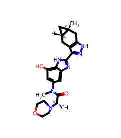 C[C@@H](C(=O)N(C)c1cc(O)c2[nH]c(-c3n[nH]c4c3C[C@@H]3C[C@]3(C)C4)nc2c1)N1CCOCC1